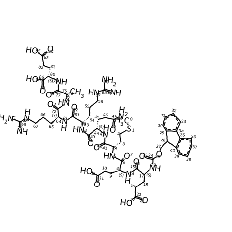 CSCC[C@H](NC(=O)[C@H](CCC(=O)O)NC(=O)[C@H](CCC(=O)O)NC(=O)OCC1c2ccccc2-c2ccccc21)C(=O)N[C@@H](CCC(N)=O)C(=O)N[C@@H](CCCNC(=N)N)C(=O)N[C@@H](CCCNC(=N)N)C(=O)N[C@@H](C)C(=O)N[C@@H](CCC(=O)O)C(=O)O